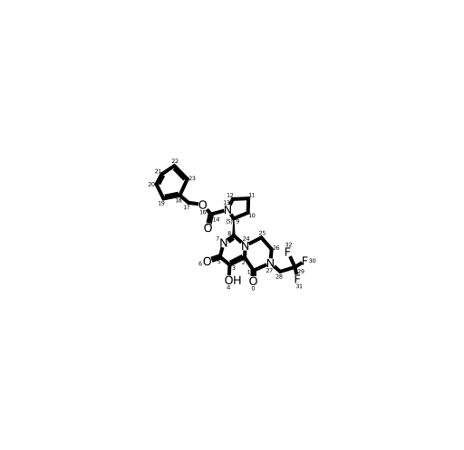 O=C1c2c(O)c(=O)nc([C@@H]3CCCN3C(=O)OCc3ccccc3)n2CCN1CC(F)(F)F